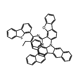 CCC1=C(c2cccc3c2sc2ccccc23)N=C(c2c(-n3c4cc5ccccc5cc4c4ccc5ccccc5c43)ccc3c2oc2ccccc23)N=C(c2cccc3ccccc23)C1